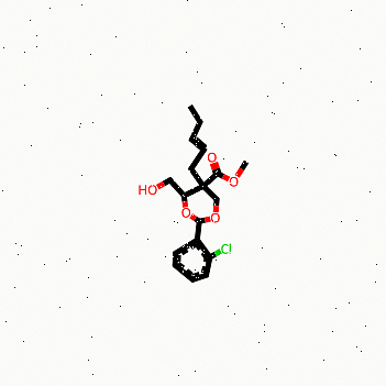 CCC=CCC1(C(=O)OC)COC(c2ccccc2Cl)OC1CO